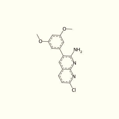 COc1cc(OC)cc(-c2cc3ccc(Cl)nc3nc2N)c1